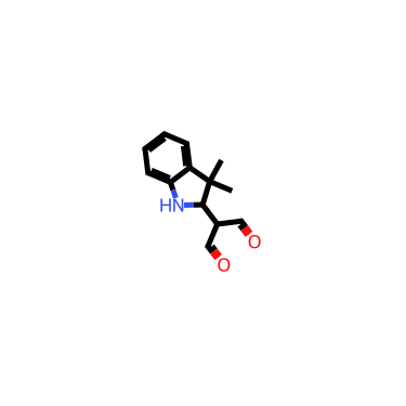 CC1(C)c2ccccc2NC1C(C=O)C=O